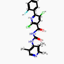 Cc1ncc(C(C)C)c(NC(=O)NC(=O)c2cc(Cl)c(-c3ccccc3F)nc2Cl)c1C